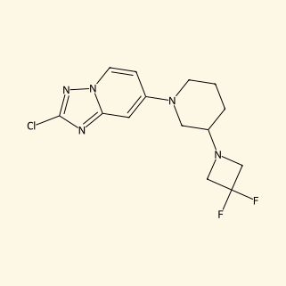 FC1(F)CN(C2CCCN(c3ccn4nc(Cl)nc4c3)C2)C1